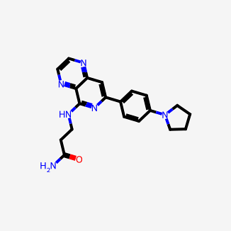 NC(=O)CCNc1nc(-c2ccc(N3CCCC3)cc2)cc2nccnc12